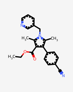 CCOC(=O)c1c(-c2ccc(C#N)cc2)c(C)n(Cc2cccnc2)c1C